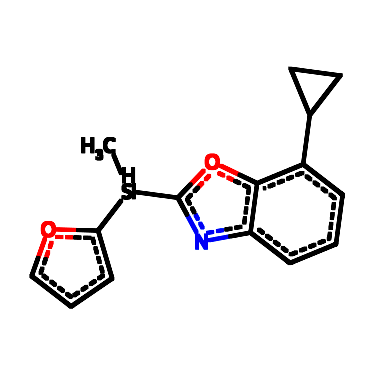 C[SiH](c1ccco1)c1nc2cccc(C3CC3)c2o1